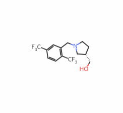 OC[C@H]1CCN(Cc2cc(C(F)(F)F)ccc2C(F)(F)F)C1